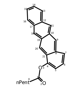 CCCCCC(=O)Oc1cccc2cc3cc4ccccc4cc3cc12